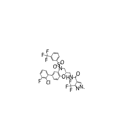 Cn1cc(C(=O)NCC2CN(S(=O)(=O)c3cccc(C(F)(F)F)c3)c3cc(-c4cccc(F)c4Cl)ccc3O2)c(C(F)(F)F)n1